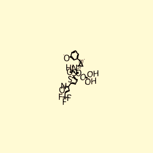 COc1cccc([C@@]2(C)C[C@@H]2NS(=O)(=O)c2ccc(-c3cc(C(F)(F)F)on3)s2)c1.O=C(O)O